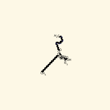 CC/C=C\C/C=C\C/C=C\C/C=C\CCCCC(=O)OC[C@H](COP(=O)(O)OC[C@H](N)C(=O)O)OC(=O)CCCCCCCCCCCCCCCCCCCC